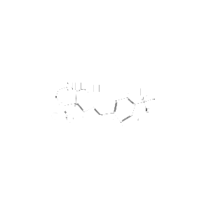 O=S1(=O)CCNC(O)/C1=C\C=C\c1ccc(C(F)(F)F)cc1